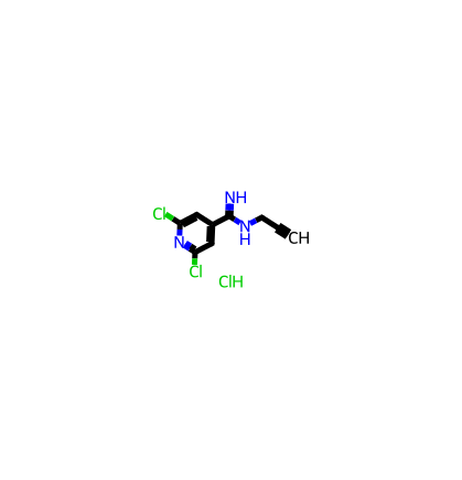 C#CCNC(=N)c1cc(Cl)nc(Cl)c1.Cl